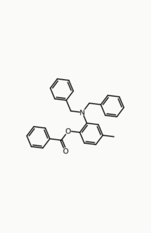 Cc1ccc(OC(=O)c2ccccc2)c(N(Cc2ccccc2)Cc2ccccc2)c1